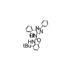 Cc1cccc(C(C)(C)C)c1NC(=O)Nc1cnc(-c2ccccc2)nc1-c1ccccc1Cl